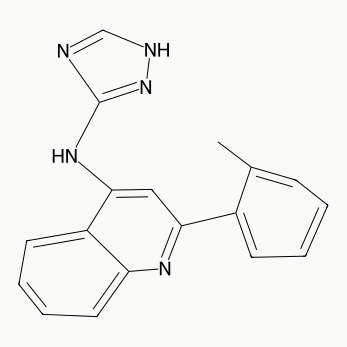 Cc1ccccc1-c1cc(Nc2nc[nH]n2)c2ccccc2n1